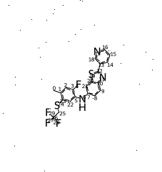 Cc1cc(F)c(Nc2ccc3nc(-c4cccnc4)sc3c2)cc1SCC(F)(F)F